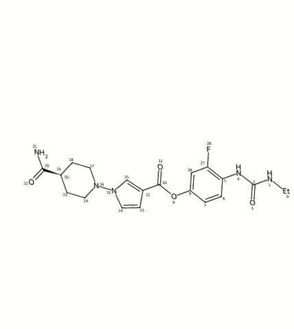 CCNC(=O)Nc1ccc(OC(=O)c2ccn(N3C[CH][C@H](C(N)=O)CC3)c2)cc1F